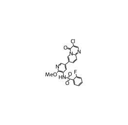 COc1ncc(-c2ccc3ncc(Cl)c(=O)n3c2)cc1NS(=O)(=O)c1ccccc1F